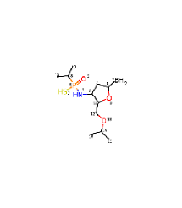 BC1CC(NP(=O)(S)C(C)C)C(COC(C)C)O1